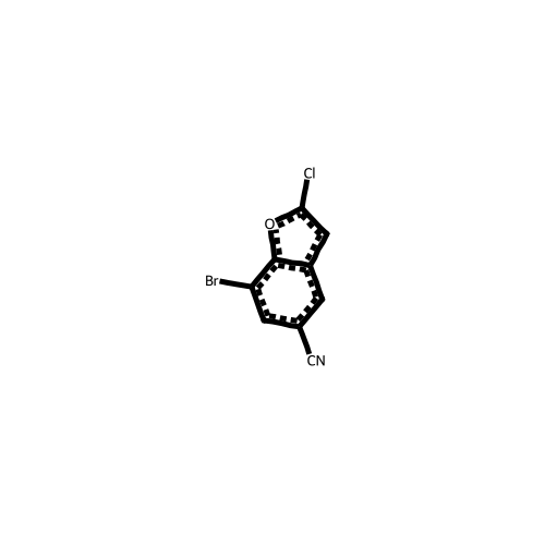 N#Cc1cc(Br)c2oc(Cl)cc2c1